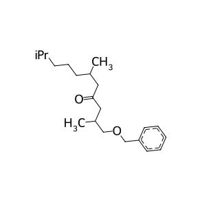 CC(C)CCCC(C)CC(=O)CC(C)COCc1ccccc1